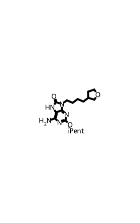 CCC[C@H](C)Oc1nc(N)c2[nH]c(=O)n(CCCCC3CCOC3)c2n1